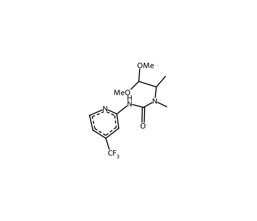 COC(OC)C(C)N(C)C(=O)Nc1cc(C(F)(F)F)ccn1